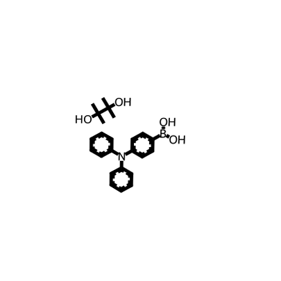 CC(C)(O)C(C)(C)O.OB(O)c1ccc(N(c2ccccc2)c2ccccc2)cc1